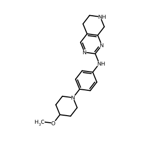 COC1CCN(c2ccc(Nc3ncc4c(n3)CNCC4)cc2)CC1